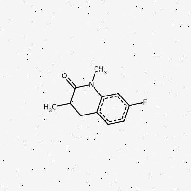 CC1Cc2ccc(F)cc2N(C)C1=O